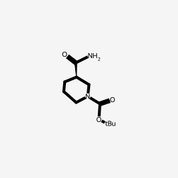 CC(C)(C)OC(=O)N1CCC[C@@H](C(N)=O)C1